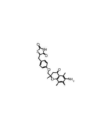 Cc1c(C)c2c(c(C)c1N)C(=O)CC(C)(COc1ccc(CC3SC(=O)NC3=O)cc1)O2